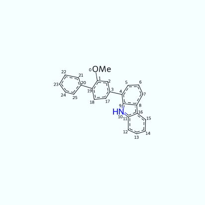 COc1cc(-c2cccc3c2[nH]c2ccccc23)ccc1-c1ccccc1